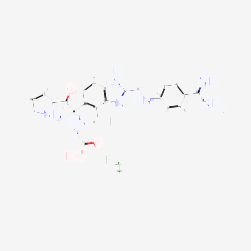 Cc1c(C(C)(NCC(=O)O)C(=O)C2C=CCN2)ccc2[nH]c(CNc3ccc(C(=N)N)cc3)nc12.Cl.Cl